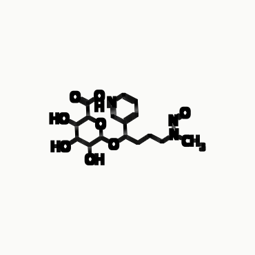 CN(CCCC(OC1OC(C(=O)O)C(O)C(O)C1O)c1cccnc1)N=O